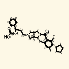 C1CCCC1.O=C(O)NC(CCN1CC2CN(C(=O)c3c(F)cc(F)cc3F)C[C@@H]2C1)c1ccccc1